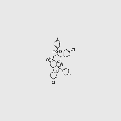 Cc1ccc(S(=O)(=O)C2C[C@H]3C(=O)CC(c4ccc(Cl)cc4)C(S(=O)(=O)c4ccc(C)cc4)[C@H]3CC2c2ccc(Cl)cc2)cc1